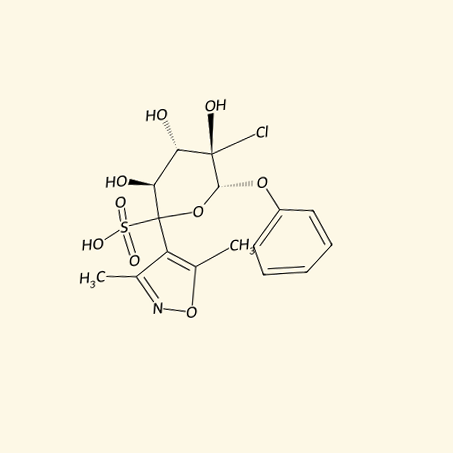 Cc1noc(C)c1C1(S(=O)(=O)O)O[C@@H](Oc2ccccc2)[C@@](O)(Cl)[C@@H](O)[C@@H]1O